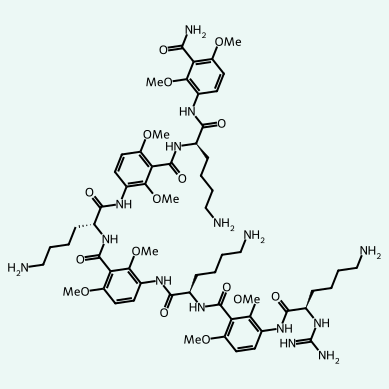 COc1ccc(NC(=O)[C@@H](CCCCN)NC(=O)c2c(OC)ccc(NC(=O)[C@@H](CCCCN)NC(=O)c3c(OC)ccc(NC(=O)[C@@H](CCCCN)NC(=O)c4c(OC)ccc(NC(=O)[C@@H](CCCCN)NC(=N)N)c4OC)c3OC)c2OC)c(OC)c1C(N)=O